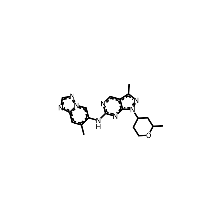 Cc1cc2ncnn2cc1Nc1ncc2c(C)nn(C3CCOC(C)C3)c2n1